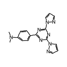 CN(C)c1ccc(-c2nc(-n3cccn3)nc(-n3cccn3)n2)cc1